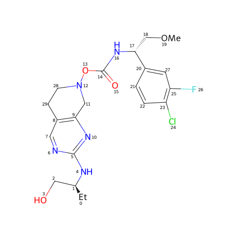 CC[C@@H](CO)Nc1ncc2c(n1)CN(OC(=O)N[C@H](COC)c1ccc(Cl)c(F)c1)CC2